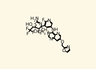 C[C@@H]1[C@@](C)([C@@H](O)C(F)(F)F)SC(N)=N[C@]1(C)c1cc(Nc2ncnc3cc(OCc4ncco4)cnc23)cnc1F